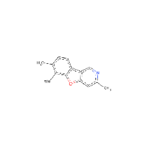 Cc1cc2oc3c(C(C)(C)C)c(C)ccc3c2cn1